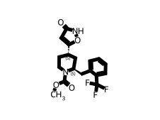 COC(=O)N1CC[C@H](c2cc(=O)[nH]o2)C[C@H]1Cc1ccccc1C(F)(F)F